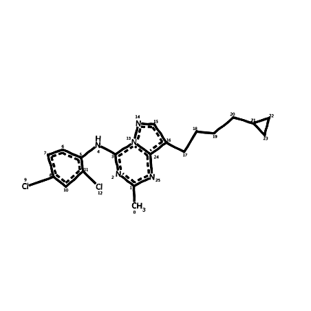 Cc1nc(Nc2ccc(Cl)cc2Cl)n2ncc(CCCCC3CC3)c2n1